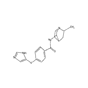 CC1CC2CCN1CC2NC(=O)c1ccc(Sc2cnc[nH]2)cc1